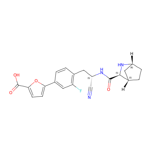 N#C[C@H](Cc1ccc(-c2ccc(C(=O)O)o2)cc1F)NC(=O)[C@H]1N[C@@H]2CC[C@H]1C2